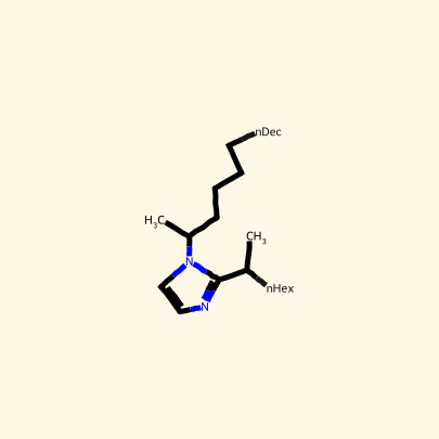 CCCCCCCCCCCCCCC(C)n1ccnc1C(C)CCCCCC